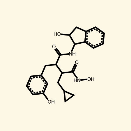 O=C(NO)C(CC1CC1)C(Cc1cccc(O)c1)C(=O)NC1c2ccccc2CC1O